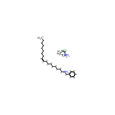 C=C.CCCCCCCC/C=C\CCCCCCCCNCc1ccccc1.CCN.Cl